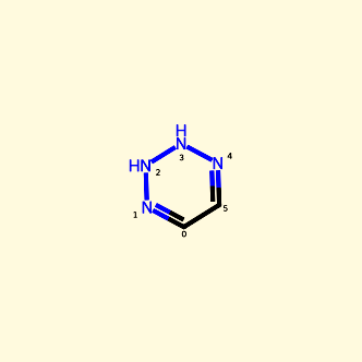 C1=NNNN=C1